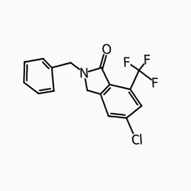 O=C1c2c(cc(Cl)cc2C(F)(F)F)CN1Cc1ccccc1